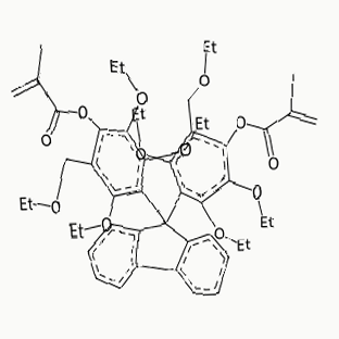 C=C(C)C(=O)Oc1c(COCC)c(OCC)c(C2(c3c(OCC)c(COCC)c(OC(=O)C(=C)C)c(OCC)c3OCC)c3ccccc3-c3ccccc32)c(OCC)c1OCC